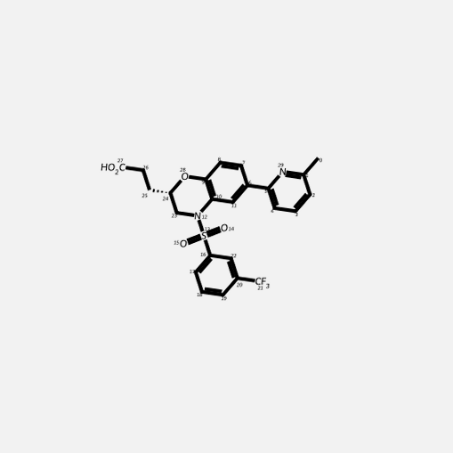 Cc1cccc(-c2ccc3c(c2)N(S(=O)(=O)c2cccc(C(F)(F)F)c2)C[C@H](CCC(=O)O)O3)n1